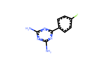 Nc1nc(N)nc(-c2ccc(F)cc2)n1